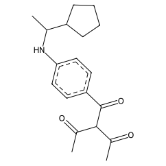 CC(=O)C(C(C)=O)C(=O)c1ccc(NC(C)C2CCCC2)cc1